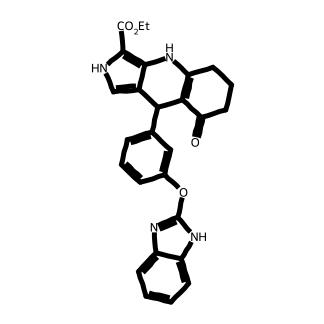 CCOC(=O)c1[nH]cc2c1NC1=C(C(=O)CCC1)C2c1cccc(Oc2nc3ccccc3[nH]2)c1